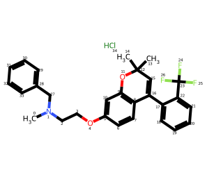 CN(CCOc1ccc2c(c1)OC(C)(C)C=C2c1ccccc1C(F)(F)F)Cc1ccccc1.Cl